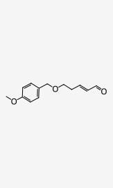 COc1ccc(COCC/C=C/C=O)cc1